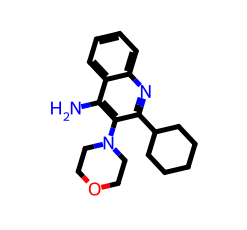 Nc1c(N2CCOCC2)c(C2CCCCC2)nc2ccccc12